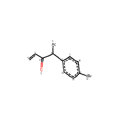 C=CC(=O)C(C(C)=O)c1ccc(C(C)(C)C)cc1